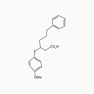 COc1ccc(SC(CCCc2ccccc2)CC(=O)O)cc1